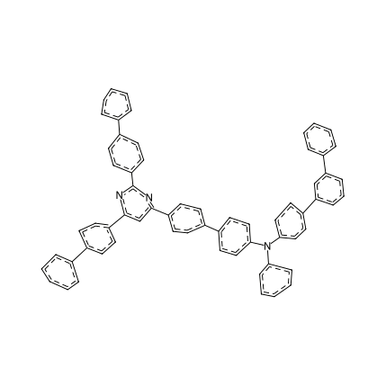 c1ccc(-c2ccc(-c3cc(-c4ccc(-c5ccc(N(c6ccccc6)c6ccc(-c7cccc(-c8ccccc8)c7)cc6)cc5)cc4)nc(-c4ccc(-c5ccccc5)cc4)n3)cc2)cc1